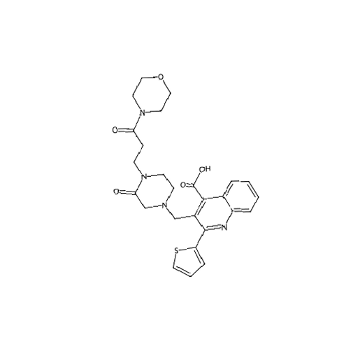 O=C(O)c1c(CN2CCN(CCC(=O)N3CCOCC3)C(=O)C2)c(-c2cccs2)nc2ccccc12